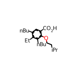 CCCCc1cc(C(=O)O)c(OCCC(C)C)c(CCCC)c1CC